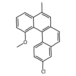 COc1cccc2c(C)cc3ccc4cc(Cl)ccc4c3c12